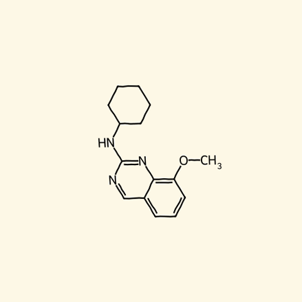 COc1cccc2cnc(NC3CCCCC3)nc12